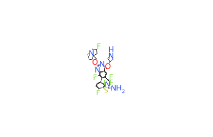 Nc1nc2c(-c3c(C(F)(F)F)cc4c(OC5CNC5)nc(OC[C@@]56CCCN5C[C@H](F)C6)nc4c3F)ccc(F)c2s1